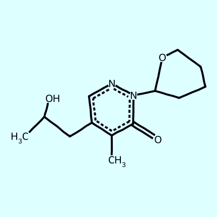 Cc1c(CC(C)O)cnn(C2CCCCO2)c1=O